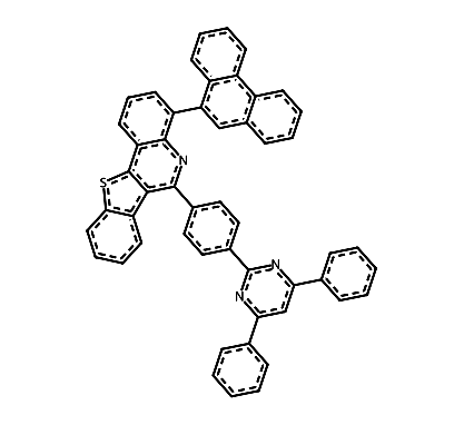 c1ccc(-c2cc(-c3ccccc3)nc(-c3ccc(-c4nc5c(-c6cc7ccccc7c7ccccc67)cccc5c5sc6ccccc6c45)cc3)n2)cc1